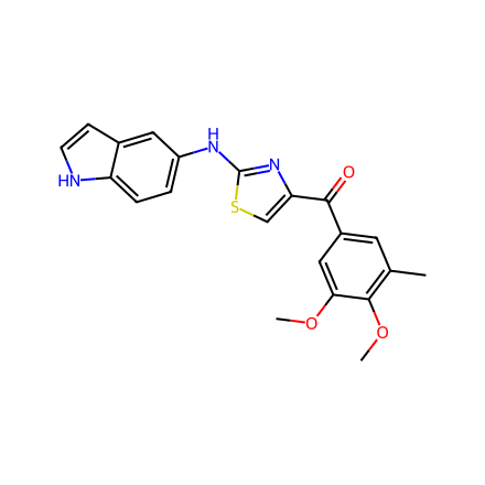 COc1cc(C(=O)c2csc(Nc3ccc4[nH]ccc4c3)n2)cc(C)c1OC